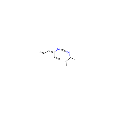 C=C/C=C(\C=C)N=C=NC(C)CC